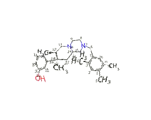 Cc1cc(C)c(CN2CCN3C[C@H](C)[C@](C)(c4cccc(O)c4)C[C@@H]3C2)cc1C